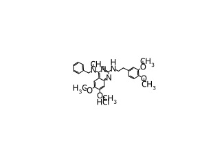 COc1ccc(CCNc2nc(N(C)Cc3ccccc3)c3cc(OC)c(OC)cc3n2)cc1OC.Cl